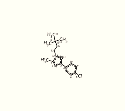 Cc1nc(-c2ccc(Cl)cc2)nn1CCC(C)(C)C